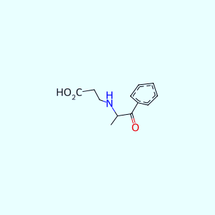 CC(NCCC(=O)O)C(=O)c1ccccc1